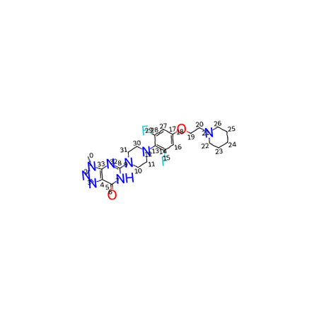 Cn1nnc2c(=O)[nH]c(N3CCN(c4c(F)cc(OCCN5CCCCC5)cc4F)CC3)nc21